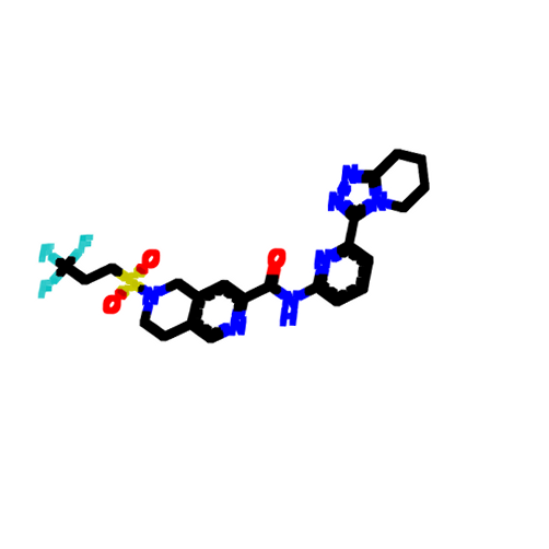 O=C(Nc1cccc(-c2nnc3n2CCCC3)n1)c1cc2c(cn1)CCN(S(=O)(=O)CCC(F)(F)F)C2